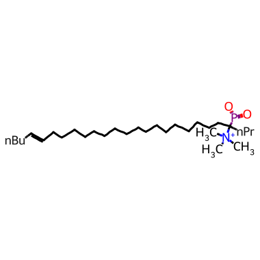 CCCCC=CCCCCCCCCCCCCCCCCCC(CCC)(P(=O)=O)[N+](C)(C)C